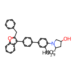 O=C(O)C1CC(O)CN1c1ccc(-c2ccc(-c3c(Cc4ccccc4)oc4ccccc34)cc2)cc1[N+](=O)[O-]